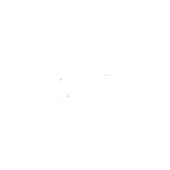 COCCOc1cc2ncnc(N3CCC4C=CC(F)(Br)C=C43)c2cc1OCCOC.Cl